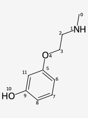 CNCCOc1cccc(O)c1